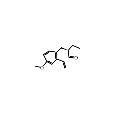 C=Cc1cc(OC)ccc1C[C@H](C=O)CC